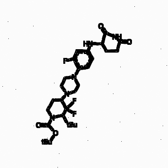 CC(C)(C)OC(=O)N1CCC(N2CCN(c3ccc(NC4CCC(=O)NC4=O)cc3F)CC2)C(F)(F)C1C(C)(C)C